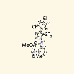 CO/C=C(/C(=O)OC)c1ccccc1/C=C/c1cnn(-c2ccc(Cl)cc2Cl)c1C(F)(F)F